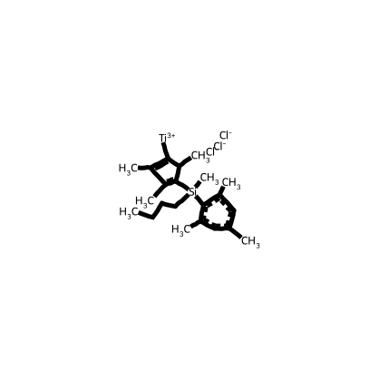 CCCC[Si](C)(C1=C(C)C(C)=[C]([Ti+3])C1C)c1c(C)cc(C)cc1C.[Cl-].[Cl-].[Cl-]